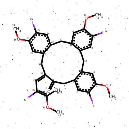 C=C1Cc2cc(I)c(OC)cc2Cc2cc(I)c(OC)cc2Cc2cc(I)c(OC)cc2C/C1=C/C(I)=C(\C)OC